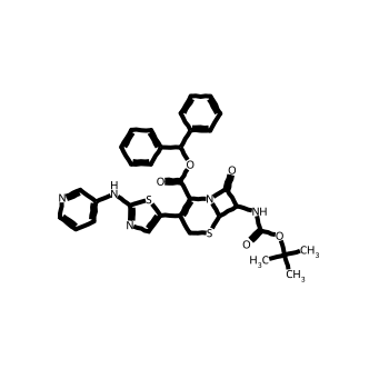 CC(C)(C)OC(=O)NC1C(=O)N2C(C(=O)OC(c3ccccc3)c3ccccc3)=C(c3cnc(Nc4cccnc4)s3)CSC12